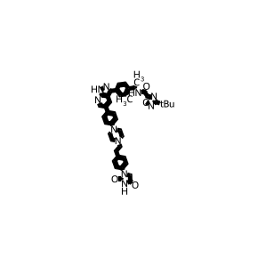 Cc1cc(-c2n[nH]c3ncc(-c4ccc(N5CCN(CCc6ccc(N7CC(=O)NC7=O)cc6)CC5)cc4)cc23)ccc1C(C)NC(=O)c1nc(C(C)(C)C)no1